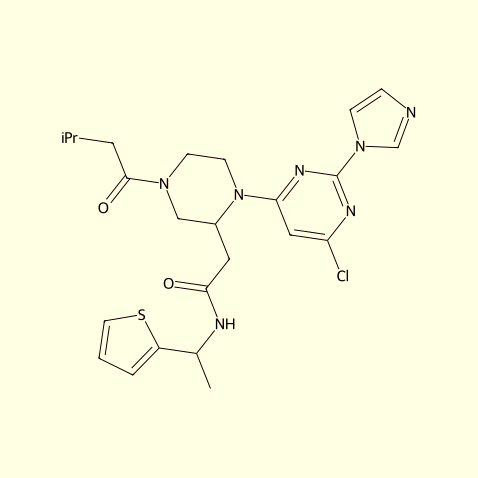 CC(C)CC(=O)N1CCN(c2cc(Cl)nc(-n3ccnc3)n2)C(CC(=O)NC(C)c2cccs2)C1